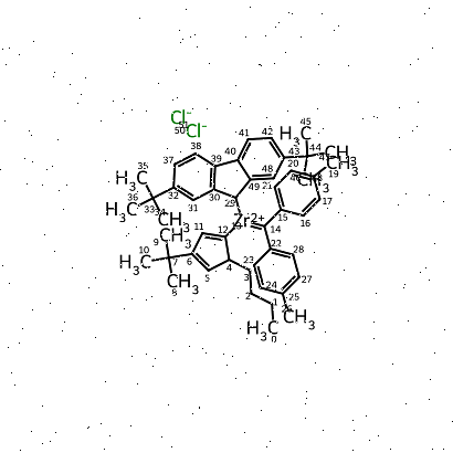 CCCCC1C=C(C(C)(C)C)C=[C]1[Zr+2](=[C](c1ccc(C)cc1)c1ccc(C)cc1)[CH]1c2cc(C(C)(C)C)ccc2-c2ccc(C(C)(C)C)cc21.[Cl-].[Cl-]